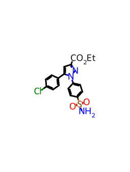 CCOC(=O)c1cc(-c2ccc(Cl)cc2)n(-c2ccc(S(N)(=O)=O)cc2)n1